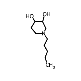 CCCCCN1CCC(O)C(O)C1